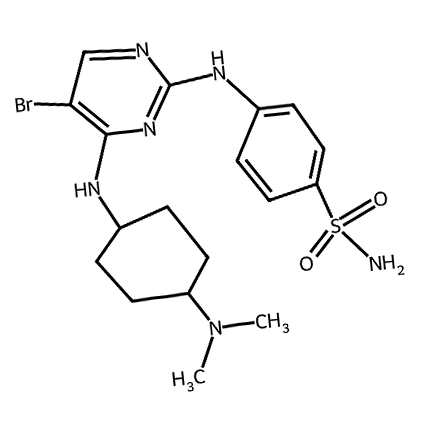 CN(C)C1CCC(Nc2nc(Nc3ccc(S(N)(=O)=O)cc3)ncc2Br)CC1